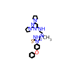 CN(CCNc1cc(N2CCCC2)nc(N2CCCC2)n1)CCN(C(N)=S)c1ccc(Oc2ccccc2)cc1